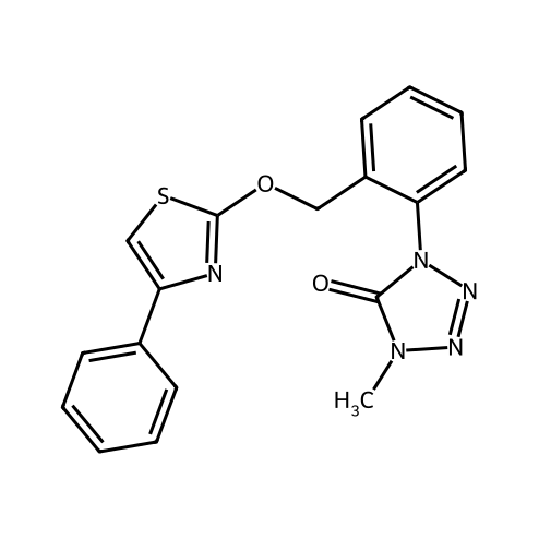 Cn1nnn(-c2ccccc2COc2nc(-c3ccccc3)cs2)c1=O